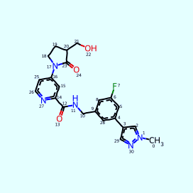 Cn1cc(-c2cc(F)cc(CNC(=O)c3cc(N4CCC(CO)C4=O)ccn3)c2)cn1